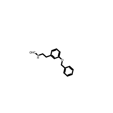 O=CNCCc1cccc(OCc2ccccc2)c1